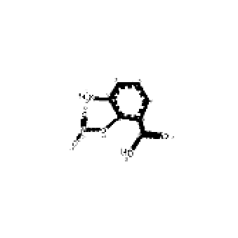 Nc1cccc(C(=O)O)c1O[N+](=O)[O-]